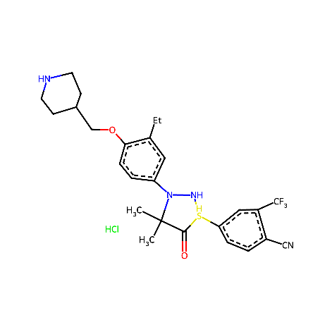 CCc1cc(N2N[SH](c3ccc(C#N)c(C(F)(F)F)c3)C(=O)C2(C)C)ccc1OCC1CCNCC1.Cl